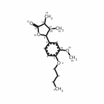 CCCCOc1ccc(C2OC(=O)C(C)[C@H]2C)cc1OC